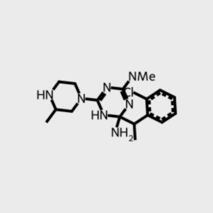 CNC1=NC(N)(C(C)c2ccccc2Cl)NC(N2CCNC(C)C2)=N1